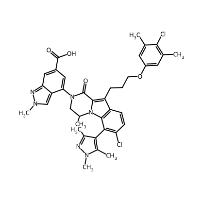 Cc1cc(OCCCc2c3n(c4c(-c5c(C)nn(C)c5C)c(Cl)ccc24)C(C)CN(c2cc(C(=O)O)cc4nn(C)cc24)C3=O)cc(C)c1Cl